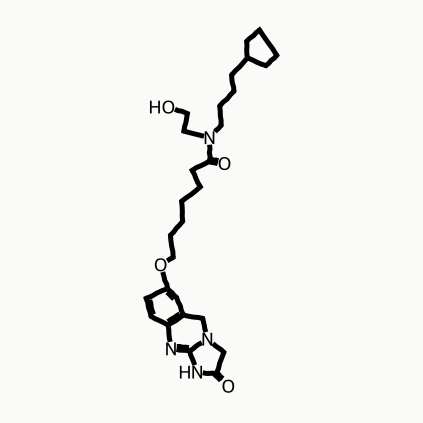 O=C1CN2Cc3cc(OCCCCCCC(=O)N(CCO)CCCCC4CCCC4)ccc3N=C2N1